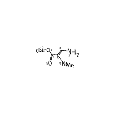 CN/C(=C\N)C(=O)OC(C)(C)C